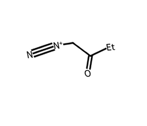 CCC(=O)C[N+]#N